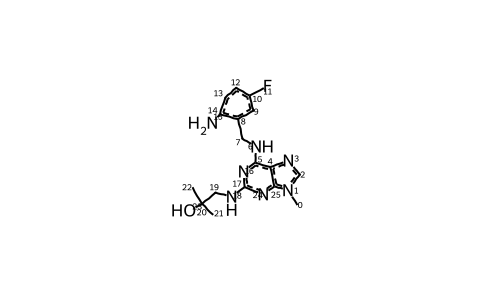 Cn1cnc2c(NCc3cc(F)ccc3N)nc(NCC(C)(C)O)nc21